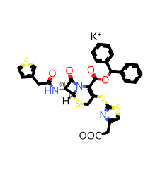 O=C([O-])Cc1csc(SC2=C(C(=O)OC(c3ccccc3)c3ccccc3)N3C(=O)[C@@H](NC(=O)Cc4ccsc4)[C@@H]3SC2)n1.[K+]